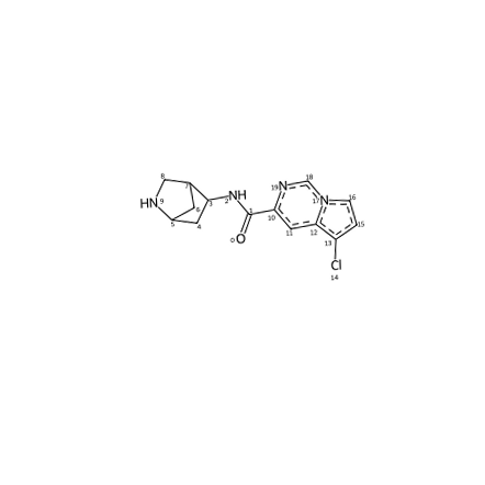 O=C(NC1CC2CC1CN2)c1cc2c(Cl)ccn2cn1